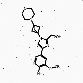 Nc1ncc(-c2cn(C34CC(N5CCOCC5)(C3)C4)c(CO)n2)cc1OC(F)(F)F